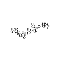 CNC(=O)c1cccc(CN2CCN(C(=O)[C@H](Cc3ccc(Oc4ccnc5c4c(C)cn5COCC[Si](C)(C)C)c(F)c3)NC(=O)O)CC2)c1